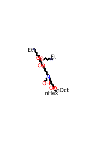 CC/C=C\CCCCOC(CCC(=O)OCCCCCCN(CCCO)CCCCCC(=O)OCC(CCCCCC)CCCCCCCC)OCCCC/C=C\CC